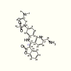 CN(C)C(=O)CN(c1cccc(N/C(=C2\C(=O)Oc3ccccc32)c2ccc(CN)nc2)c1)S(C)(=O)=O